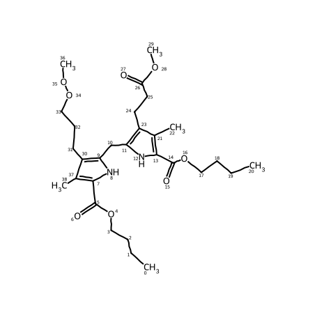 CCCCOC(=O)c1[nH]c(Cc2[nH]c(C(=O)OCCCC)c(C)c2CCC(=O)OC)c(CCCOOC)c1C